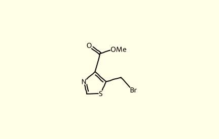 COC(=O)c1ncsc1CBr